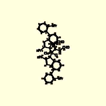 CCCC1=Cc2c(-c3ccccc3CCC)cccc2[CH]1[Hf]([Cl])([Cl])([B](NC=O)NC=O)[CH]1C(CCC)=Cc2c(-c3ccccc3CCC)cccc21